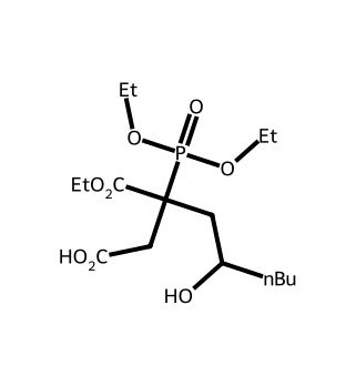 CCCCC(O)CC(CC(=O)O)(C(=O)OCC)P(=O)(OCC)OCC